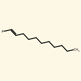 CCCCCCCCCC=C[P]